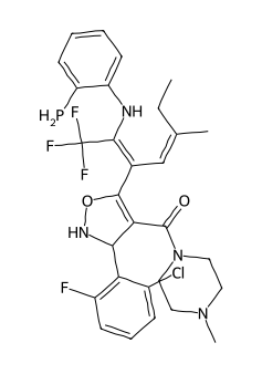 CC/C(C)=C\C(C1=C(C(=O)N2CCN(C)CC2)C(c2c(F)cccc2Cl)NO1)=C(/Nc1ccccc1P)C(F)(F)F